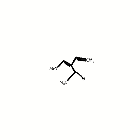 C=CC(=CNC)C(C)CC